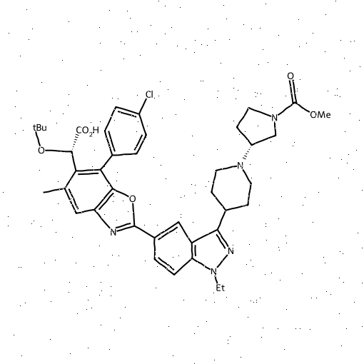 CCn1nc(C2CCN([C@@H]3CCN(C(=O)OC)C3)CC2)c2cc(-c3nc4cc(C)c([C@H](OC(C)(C)C)C(=O)O)c(-c5ccc(Cl)cc5)c4o3)ccc21